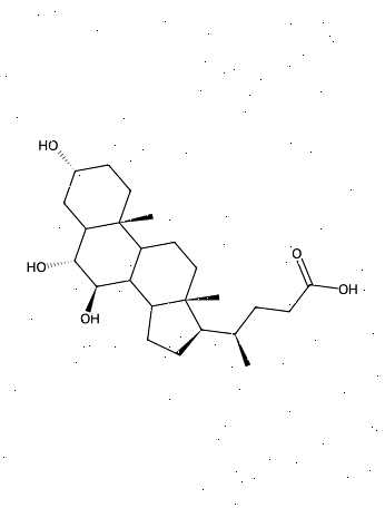 C[C@H](CCC(=O)O)[C@H]1CCC2C3C(CC[C@@]21C)[C@@]1(C)CC[C@@H](O)CC1[C@@H](O)[C@@H]3O